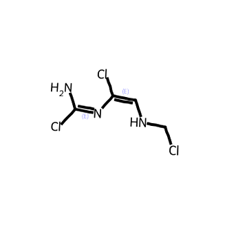 N/C(Cl)=N\C(Cl)=C/NCCl